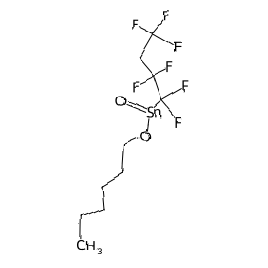 CCCCCC[O][Sn](=[O])[C](F)(F)C(F)(F)CC(F)(F)F